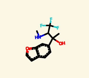 CNC(C(F)(F)F)C(C)(O)c1ccc2ccoc2c1